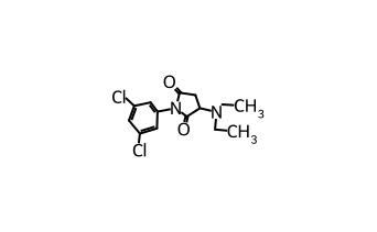 CCN(CC)C1CC(=O)N(c2cc(Cl)cc(Cl)c2)C1=O